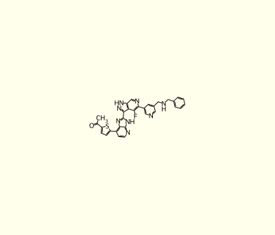 CC(=O)c1ccc(-c2ccnc3[nH]c(-c4n[nH]c5cnc(-c6cncc(CNCc7ccccc7)c6)c(F)c45)nc23)s1